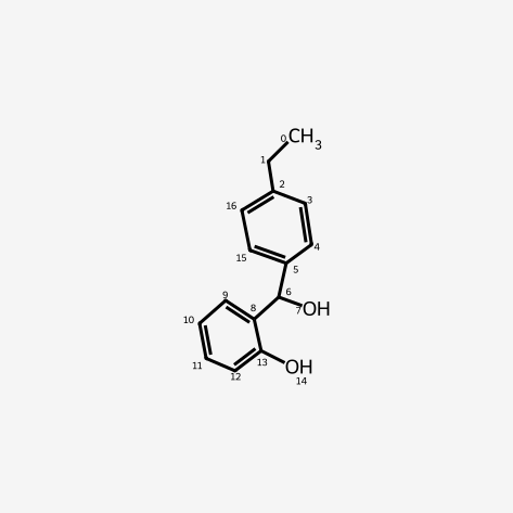 CCc1ccc(C(O)c2ccccc2O)cc1